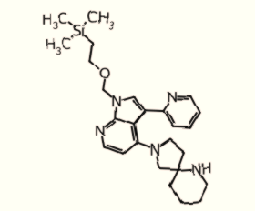 C[Si](C)(C)CCOCn1cc(-c2ccccn2)c2c(N3CCC4(CCCCN4)C3)ccnc21